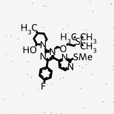 CSc1nccc(-c2c(-c3ccc(F)cc3)nc(N3CCC(C)CC3O)n2COCC[Si](C)(C)C)n1